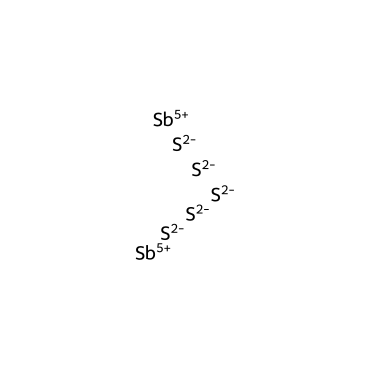 [S-2].[S-2].[S-2].[S-2].[S-2].[Sb+5].[Sb+5]